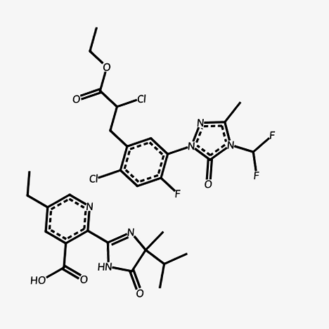 CCOC(=O)C(Cl)Cc1cc(-n2nc(C)n(C(F)F)c2=O)c(F)cc1Cl.CCc1cnc(C2=NC(C)(C(C)C)C(=O)N2)c(C(=O)O)c1